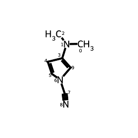 CN(C)c1ccn(C#N)c1